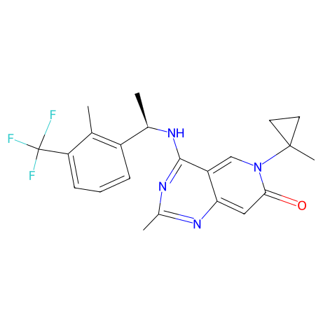 Cc1nc(N[C@H](C)c2cccc(C(F)(F)F)c2C)c2cn(C3(C)CC3)c(=O)cc2n1